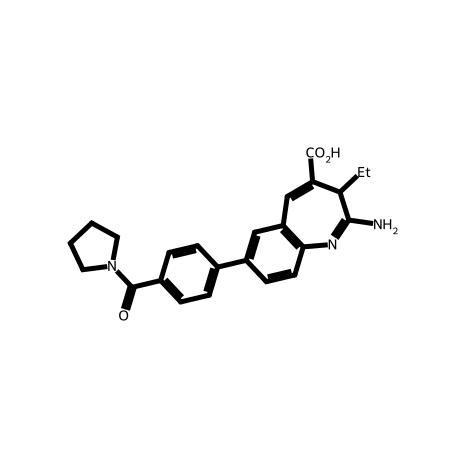 CCC1C(C(=O)O)=Cc2cc(-c3ccc(C(=O)N4CCCC4)cc3)ccc2N=C1N